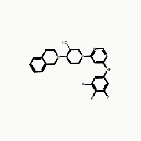 O[C@@H]1CN(c2cc(Nc3cc(F)c(F)c(F)c3)ncn2)CC[C@H]1N1CCc2ccccc2C1